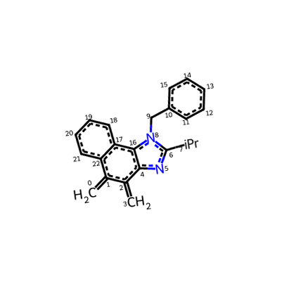 C=c1c(=C)c2nc(C(C)C)n(Cc3ccccc3)c2c2ccccc12